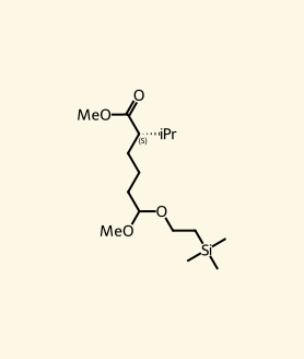 COC(=O)[C@@H](CCCC(OC)OCC[Si](C)(C)C)C(C)C